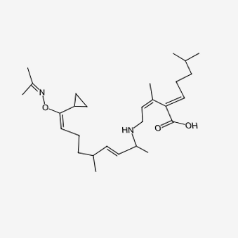 CC(C)=NO/C(=C/CCC(C)C=CC(C)NC/C=C(C)\C(=C/CCC(C)C)C(=O)O)C1CC1